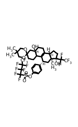 CC1(C)COC2(CCC3C4=C(CC[C@@]3(O)C2)[C@@H]2CC[C@@](O)(C(F)(F)C(F)(F)F)[C@@]2(C)C[C@@H]4c2ccc(OS(=O)(=O)C(F)(F)C(F)(F)C(F)(F)C(F)(F)F)cc2)OC1